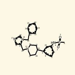 CS(=O)(=O)Nc1cccc(C2CCN(Cc3cncn3Cc3ccccc3)CC2)c1